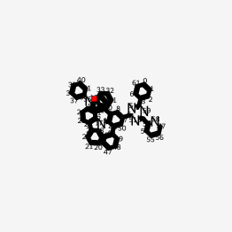 c1ccc(-c2nc(-c3cc(-c4ccccc4)c(-n4c5ccccc5c5ccc6c(c7ccccc7n6-c6ccccc6)c54)c(-c4ccccc4)c3)nc(-c3ccccn3)n2)cc1